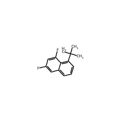 CC(C)(C)c1cccc2cc(F)cc(F)c12